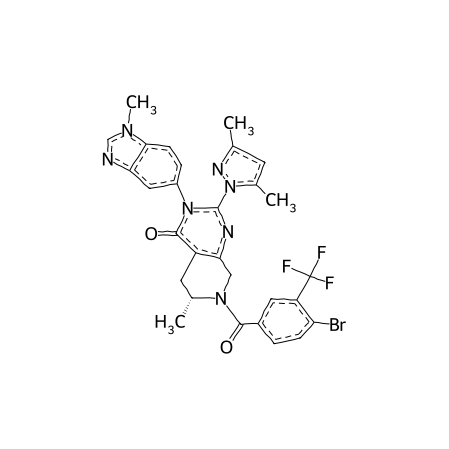 Cc1cc(C)n(-c2nc3c(c(=O)n2-c2ccc4c(c2)ncn4C)C[C@@H](C)N(C(=O)c2ccc(Br)c(C(F)(F)F)c2)C3)n1